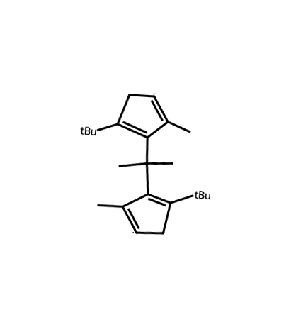 CC1=[C]CC(C(C)(C)C)=C1C(C)(C)C1=C(C(C)(C)C)C[C]=C1C